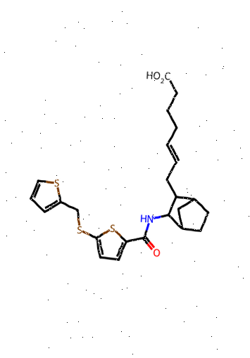 O=C(O)CCCC=CCC1C2CCC(C2)C1NC(=O)c1ccc(SCc2cccs2)s1